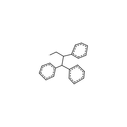 [CH2]CC(c1ccccc1)C(c1ccccc1)c1ccccc1